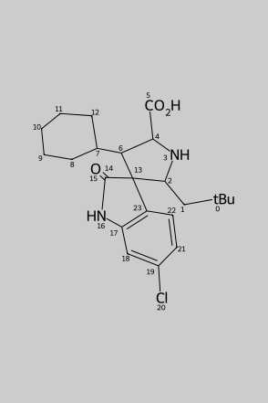 CC(C)(C)CC1NC(C(=O)O)C(C2CCCCC2)C12C(=O)Nc1cc(Cl)ccc12